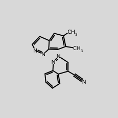 Cc1cc2ccnnc2cc1C.N#Cc1cnnc2ccccc12